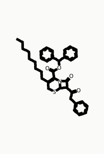 CCCCCCCCCC1=C(C(=O)OC(c2ccccc2)c2ccccc2)N2C(=O)C(C(=O)Cc3ccccc3)C2SC1